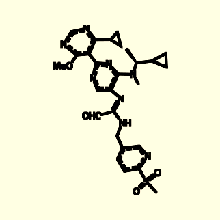 COc1ncnc(C2CC2)c1-c1ncc(/N=C(\C=O)NCc2ccc(S(C)(=O)=O)nc2)c(N(C)[C@@H](C)C2CC2)n1